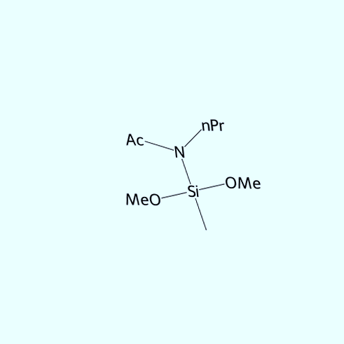 CCCN(C(C)=O)[Si](C)(OC)OC